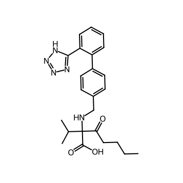 CCCCC(=O)C(NCc1ccc(-c2ccccc2-c2nnn[nH]2)cc1)(C(=O)O)C(C)C